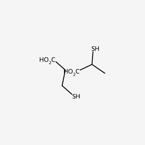 CC(S)C(=O)O.O=C(O)CCS